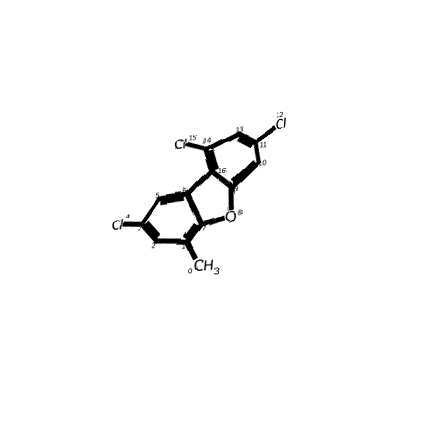 Cc1cc(Cl)cc2c1oc1cc(Cl)cc(Cl)c12